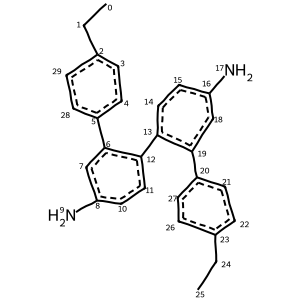 CCc1ccc(-c2cc(N)ccc2-c2ccc(N)cc2-c2ccc(CC)cc2)cc1